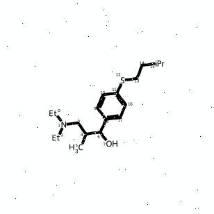 CCN(CC)CC(C)C(O)c1ccc(SCCC(C)C)cc1